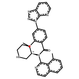 COc1cc(-n2nnc3cccnc32)ccc1C(=O)N(c1nccc2cccc(C)c12)[C@@H]1CCCNC1